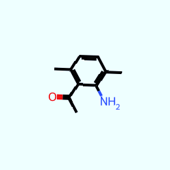 CC(=O)c1c(C)ccc(C)c1N